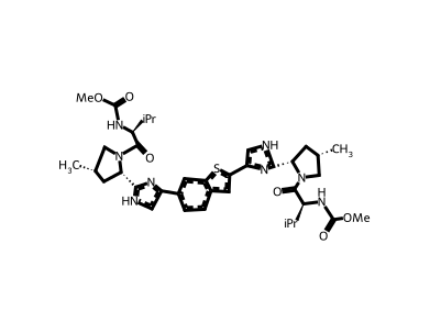 COC(=O)N[C@H](C(=O)N1C[C@@H](C)C[C@H]1c1nc(-c2ccc3cc(-c4c[nH]c([C@@H]5C[C@H](C)CN5C(=O)[C@@H](NC(=O)OC)C(C)C)n4)sc3c2)c[nH]1)C(C)C